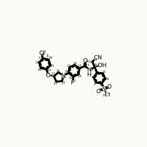 CCS(=O)(=O)c1ccc([C@@](O)(CC#N)NC(=O)c2ccc(N3CC[C@@H](Oc4ccc(C(F)(F)F)cc4)C3)c(F)c2)cc1